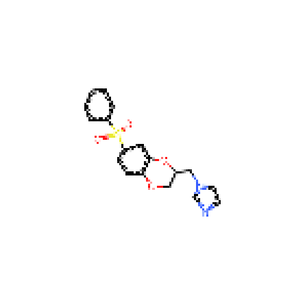 O=S(=O)(c1ccccc1)c1ccc2c(c1)OC(Cn1ccnc1)CO2